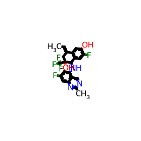 CC=C1CC(O)(C(F)(F)F)C(Nc2cc(F)cc3nc(C)ncc23)c2cc(F)c(O)cc21